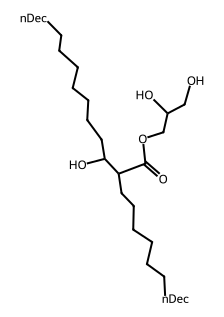 CCCCCCCCCCCCCCCCCC(O)C(CCCCCCCCCCCCCCCC)C(=O)OCC(O)CO